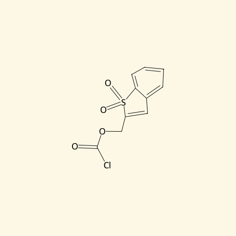 O=C(Cl)OCC1=Cc2ccccc2S1(=O)=O